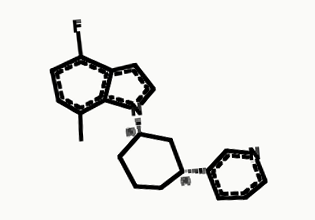 Cc1ccc(F)c2ccn([C@H]3CCC[C@@H](c4cccnc4)C3)c12